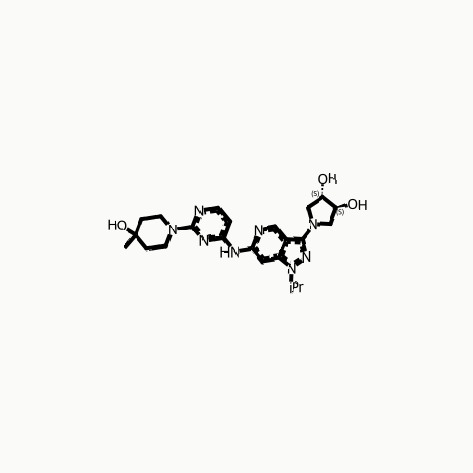 CC(C)n1nc(N2C[C@H](O)[C@@H](O)C2)c2cnc(Nc3ccnc(N4CCC(C)(O)CC4)n3)cc21